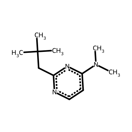 CN(C)c1ccnc(CC(C)(C)C)n1